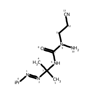 CC(C)N=NC(C)(C)NC(=O)N(N)CCC#N